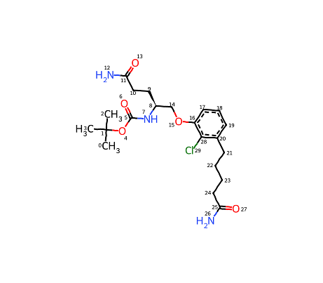 CC(C)(C)OC(=O)N[C@@H](CCC(N)=O)COc1cccc(CCCCC(N)=O)c1Cl